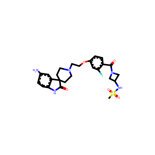 CS(=O)(=O)NC1CN(C(=O)c2ccc(OCCN3CCC4(CC3)C(=O)Nc3ccc(N)cc34)cc2F)C1